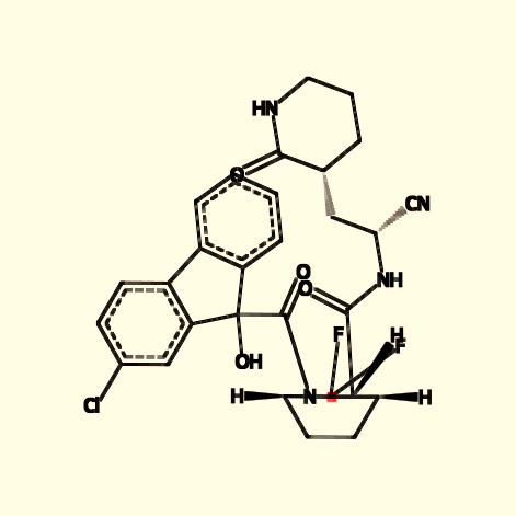 N#C[C@@H](C[C@H]1CCCNC1=O)NC(=O)[C@@H]1[C@@H]2CC[C@@H](CC2(F)F)N1C(=O)C1(O)c2ccccc2-c2ccc(Cl)cc21